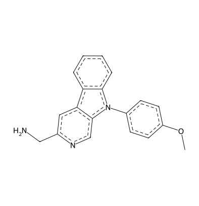 COc1ccc(-n2c3ccccc3c3cc(CN)ncc32)cc1